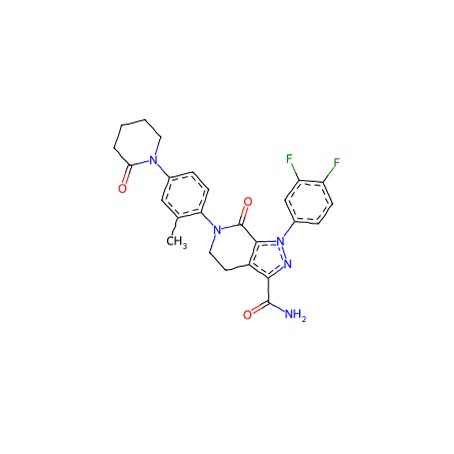 Cc1cc(N2CCCCC2=O)ccc1N1CCc2c(C(N)=O)nn(-c3ccc(F)c(F)c3)c2C1=O